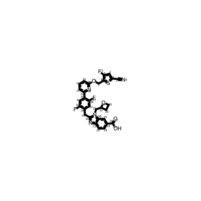 N#Cc1cc(F)c(COc2cccc(-c3cc(F)c(Cc4nc5ccc(C(=O)O)cc5n4CC4CCO4)cc3F)n2)s1